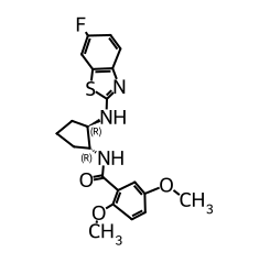 COc1ccc(OC)c(C(=O)N[C@@H]2CCC[C@H]2Nc2nc3ccc(F)cc3s2)c1